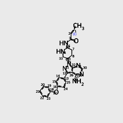 C/C=C/C(=O)N[C@H]1CC[C@@H](n2nc(-c3ccc(Oc4ccccc4)cc3)c3c(N)ncnc32)CN1